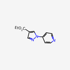 CCOC(=O)c1cnn(-c2ccncc2)c1